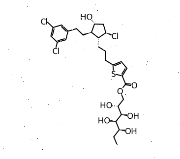 CC[C@H](O)[C@@H](O)[C@H](O)[C@H](O)COC(=O)c1ccc(CCC[C@@H]2[C@@H](CCc3cc(Cl)cc(Cl)c3)[C@H](O)C[C@H]2Cl)s1